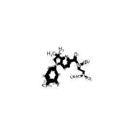 CCN(C=O)CCN(C(=O)c1ccc2c(n1)C(C)(C)CN2c1ccc(Cl)c(F)c1)C(C)(C)C